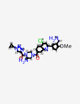 COc1ccc(-c2cc(Cl)c3ccc(C(=O)N4CCN(C(=O)c5cn(C6CC6)nn5)[C@H](N)C4)cc3n2)cc1CN